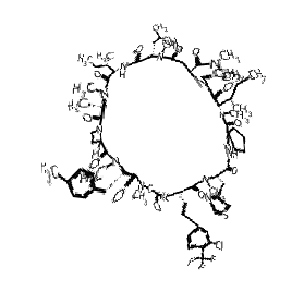 CC[C@H](C)[C@@H]1NC(=O)[C@H](CC(C)C)N(C)C(=O)C[C@@H](C(=O)N(C)C)N(C)C(=O)[C@H]([C@@H](C)CC)N(C)C(=O)C2(CCCC2)NC(=O)[C@H](Cc2cscn2)N(C)C(=O)[C@H](CCc2ccc(C(F)(F)F)c(Cl)c2)NC(=O)CN(C)C(=O)[C@H](Cc2ccc(C)cc2)N(C)C(=O)[C@@H]2CCN2C(=O)[C@H](C)N(C)C1=O